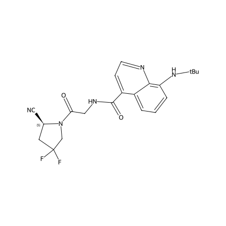 CC(C)(C)Nc1cccc2c(C(=O)NCC(=O)N3CC(F)(F)C[C@H]3C#N)ccnc12